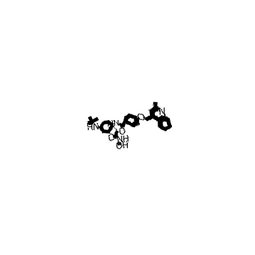 Cc1cc(COc2ccc(C(=O)N[C@]3(CC(=O)NO)CC[C@H](NC(C)(C)C)CC3)cc2)c2ccccc2n1